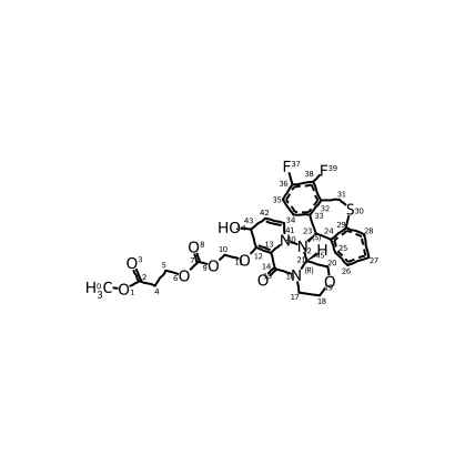 COC(=O)CCOC(=O)OCOC1=C2C(=O)N3CCOC[C@H]3N([C@@H]3c4ccccc4SCc4c3ccc(F)c4F)N2C=CC1O